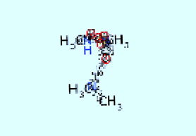 CCCCCN(C)CCCCCCCO[C@H]1CC[C@H](N(C)S(=O)(=O)OCC(=O)NCC)CC1